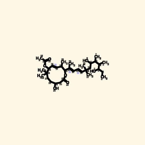 CCC(O)C(C)C(C)C(O)CC(C)(C)/C=C/C=C(\C)C1OC(=O)CC(O)CCC(C)(C)C(OC(C)=O)/C=C/C1C